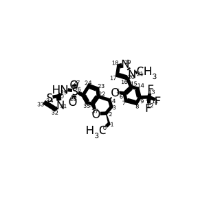 CC[C@@H]1C[C@@H](Oc2ccc(C(F)(F)F)cc2-c2ccnn2C)c2ccc(S(=O)(=O)Nc3nccs3)cc2O1